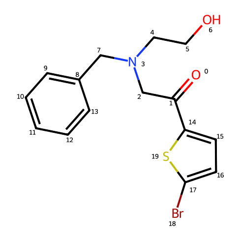 O=C(CN(CCO)Cc1ccccc1)c1ccc(Br)s1